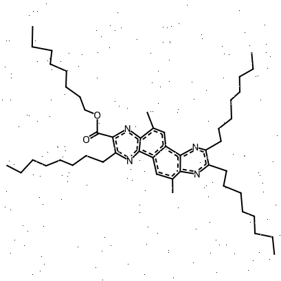 CCCCCCCCOC(=O)c1nc2c(C)cc3c(cc(C)c4nc(CCCCCCCC)c(CCCCCCCC)nc43)c2nc1CCCCCCCC